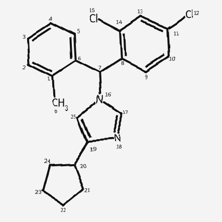 Cc1ccccc1C(c1ccc(Cl)cc1Cl)n1cnc(C2CCCC2)c1